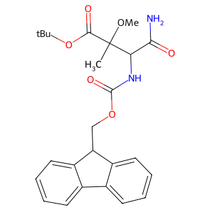 COC(C)(C(=O)OC(C)(C)C)C(NC(=O)OCC1c2ccccc2-c2ccccc21)C(N)=O